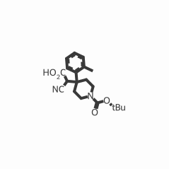 Cc1ccccc1C1(C(C#N)C(=O)O)CCN(C(=O)OC(C)(C)C)CC1